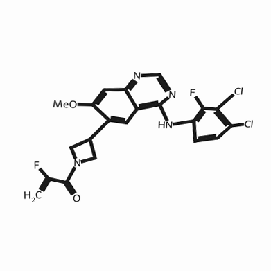 C=C(F)C(=O)N1CC(c2cc3c(Nc4ccc(Cl)c(Cl)c4F)ncnc3cc2OC)C1